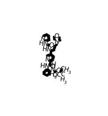 CC(C)(C)OC(=O)Nc1ccccc1NC(=O)c1ccc(C(CCCN2CCOCC2)NC(=O)Nc2ccccn2)cn1